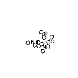 c1ccc(Nc2ccc3ccc4c(Nc5ccccc5)c(-c5ccc6oc7ccccc7c6c5)c(-c5ccc6oc7ccccc7c6c5)c5ccc2c3c45)cc1